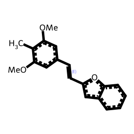 COc1cc(/C=C/c2cc3ccccc3o2)cc(OC)c1C